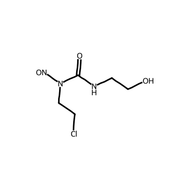 O=NN(CCCl)C(=O)NCCO